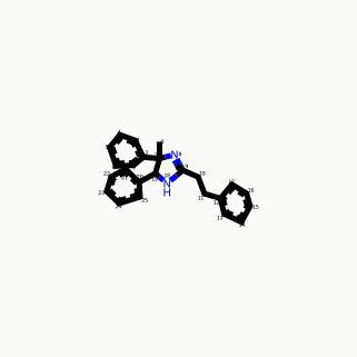 CC1(c2ccccc2)N=C(CCc2ccccc2)NC1c1ccccc1